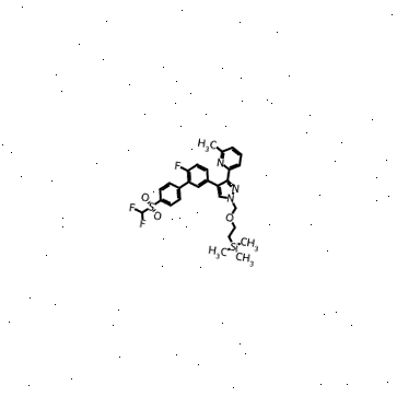 Cc1cccc(-c2nn(COCC[Si](C)(C)C)cc2-c2ccc(F)c(-c3ccc(S(=O)(=O)C(F)F)cc3)c2)n1